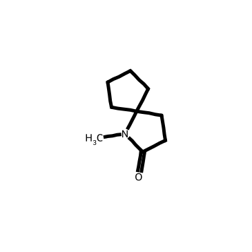 CN1C(=O)CCC12CCCC2